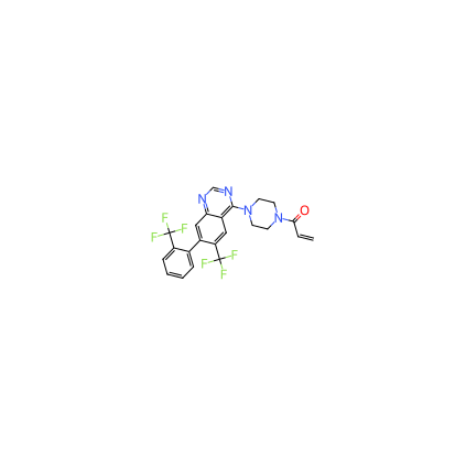 C=CC(=O)N1CCN(c2ncnc3cc(-c4ccccc4C(F)(F)F)c(C(F)(F)F)cc23)CC1